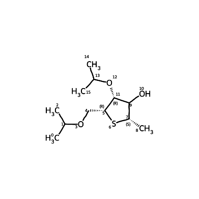 CC(C)OC[C@H]1S[C@@H](C)C(O)[C@H]1OC(C)C